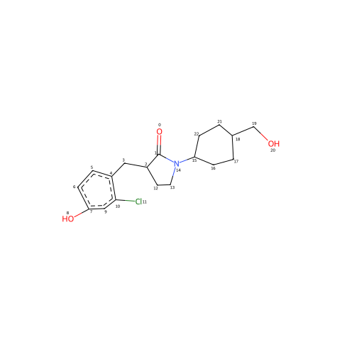 O=C1C(Cc2ccc(O)cc2Cl)CCN1C1CCC(CO)CC1